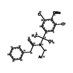 COc1c(Cl)cc(C(C)(C)N(CC(C)=O)C(=O)Cc2ccccc2)cc1Cl